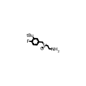 CC(C)(C)c1cc(C[S+]([O-])CCN)ccc1F